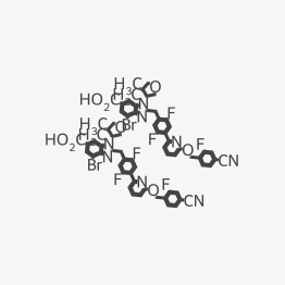 CC1(C)COCC1n1c(Cc2cc(F)c(-c3cccc(OCc4ccc(C#N)cc4F)n3)cc2F)nc2c(Br)cc(C(=O)O)cc21.CC1(C)COCC1n1c(Cc2cc(F)c(-c3cccc(OCc4ccc(C#N)cc4F)n3)cc2F)nc2c(Br)cc(C(=O)O)cc21